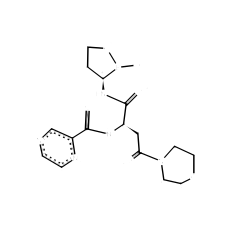 O=C(N[C@H](CC(=O)N1CCOCC1)C(=O)N[C@H]1CCOB1O)c1cnccn1